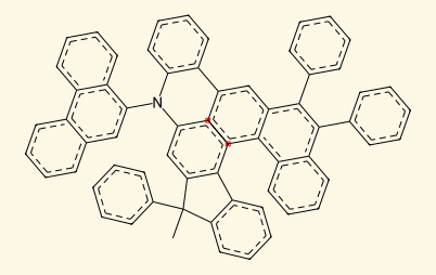 CC1(c2ccccc2)c2ccccc2-c2ccc(N(c3ccccc3-c3ccc4c(c3)c(-c3ccccc3)c(-c3ccccc3)c3ccccc34)c3cc4ccccc4c4ccccc34)cc21